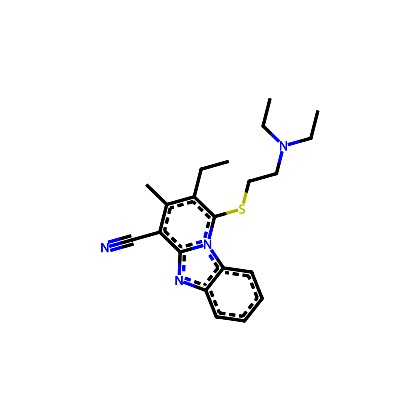 CCc1c(C)c(C#N)c2nc3ccccc3n2c1SCCN(CC)CC